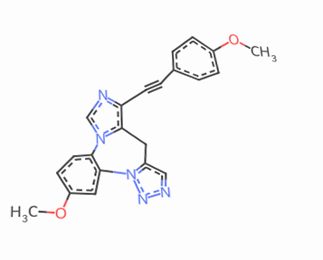 COc1ccc(C#Cc2ncn3c2Cc2cnnn2-c2cc(OC)ccc2-3)cc1